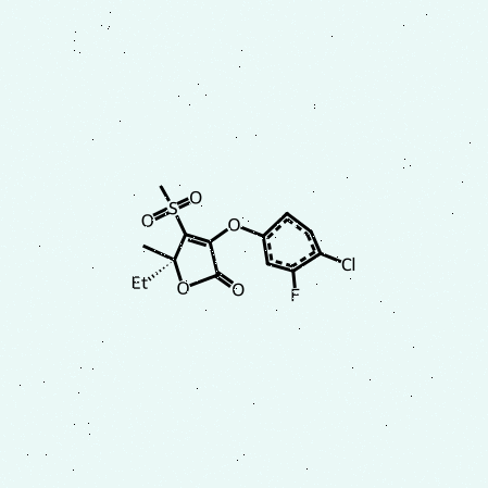 CC[C@@]1(C)OC(=O)C(Oc2ccc(Cl)c(F)c2)=C1S(C)(=O)=O